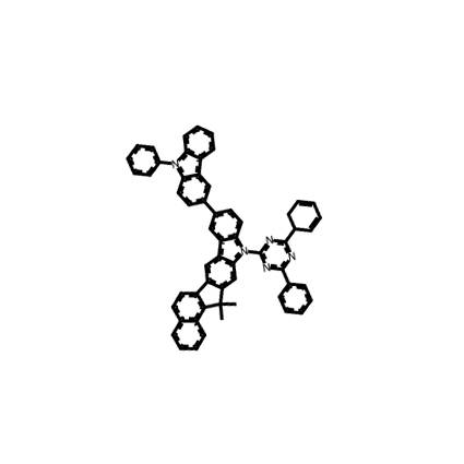 CC1(C)c2cc3c(cc2-c2ccc4ccccc4c21)c1cc(-c2ccc4c(c2)c2ccccc2n4-c2ccccc2)ccc1n3-c1nc(-c2ccccc2)nc(C2C=CC=CC2)n1